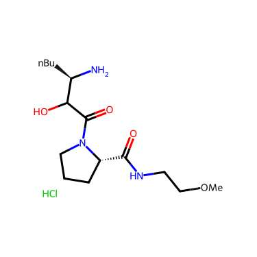 CCCC[C@@H](N)C(O)C(=O)N1CCC[C@H]1C(=O)NCCOC.Cl